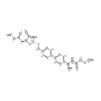 CCCOC(=O)C[C@@H]1C[C@@H](COc2ccc(-c3ccc(C(=N)NC(=O)OCOC(C)=O)cc3)cc2)NC1=O